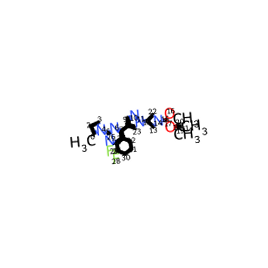 C[C@H]1CCN1c1nc(-c2cnn(C3CN(C(=O)OC(C)(C)C)C3)c2)c2c(n1)C(F)(F)CCC2